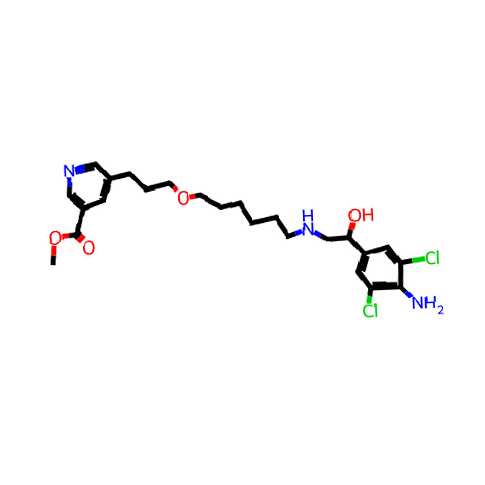 COC(=O)c1cncc(CCCOCCCCCCNCC(O)c2cc(Cl)c(N)c(Cl)c2)c1